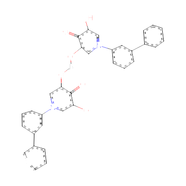 O=c1c(O)cn(-c2cccc(-c3ccccc3)c2)cc1OBOc1cn(-c2cccc(-c3ccccc3)c2)cc(O)c1=O